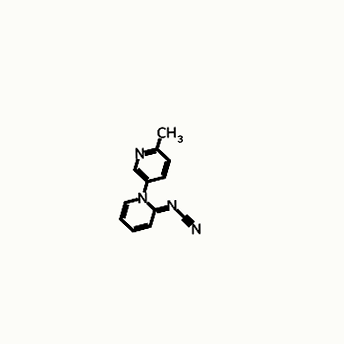 Cc1ccc(-n2ccccc2=NC#N)cn1